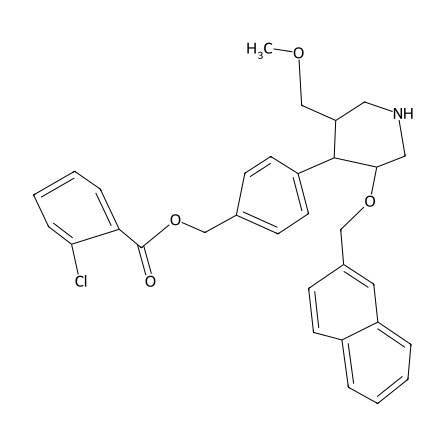 COCC1CNCC(OCc2ccc3ccccc3c2)C1c1ccc(COC(=O)c2ccccc2Cl)cc1